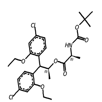 CCOc1cc(Cl)ccc1C(c1ccc(Cl)cc1OCC)[C@H](C)OC(=O)[C@H](C)NC(=O)OC(C)(C)C